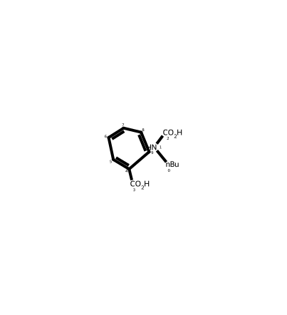 CCCCNC(=O)O.O=C(O)c1ccccc1